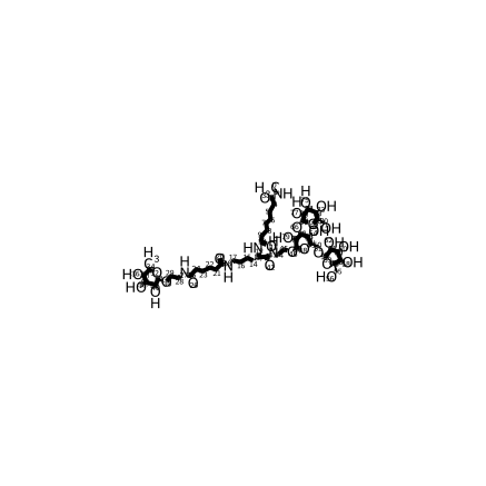 CNC(=O)CCCCCCC(=O)N[C@@H](CCCCNC(=O)CCCCC(=O)NCCO[C@@H]1O[C@@H](C)[C@@H](O)[C@@H](O)[C@@H]1O)C(=O)NCCO[C@H]1O[C@H](CO[C@H]2O[C@H](CO)[C@@H](O)[C@H](O)[C@@H]2O)[C@@H](O)[C@H](O[C@H]2O[C@H](CO)[C@@H](O)[C@H](O)[C@@H]2O)[C@@H]1O